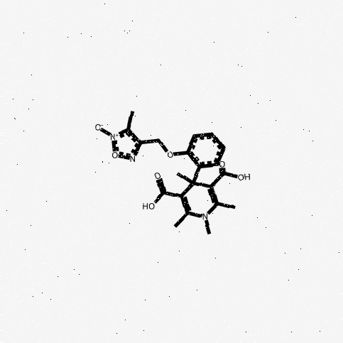 CC1=C(C(=O)O)C(C)(c2ccccc2OCc2no[n+]([O-])c2C)C(C(=O)O)=C(C)N1C